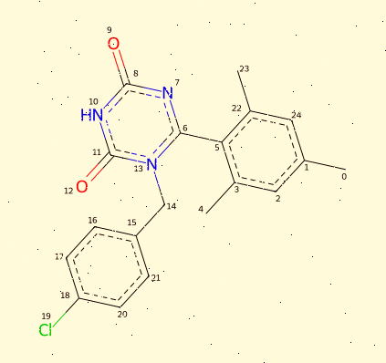 Cc1cc(C)c(-c2nc(=O)[nH]c(=O)n2Cc2ccc(Cl)cc2)c(C)c1